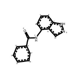 O=C(Nc1cccc2[nH]ncc12)c1ccccc1